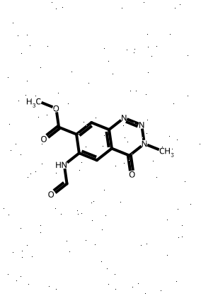 COC(=O)c1cc2nnn(C)c(=O)c2cc1NC=O